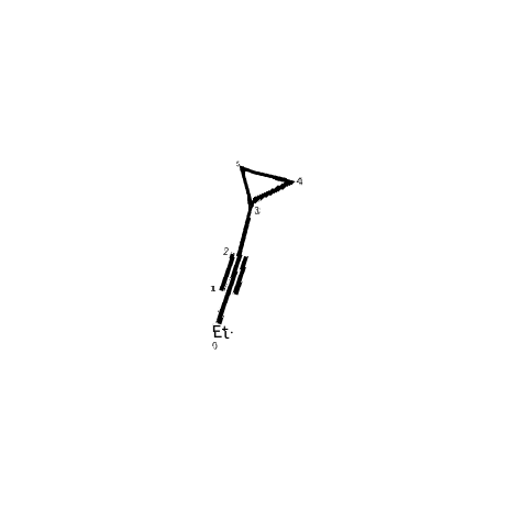 C[CH]C#CC1CC1